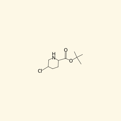 CC(C)(C)OC(=O)C1CCC(Cl)CN1